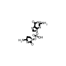 Nc1ccn(OP(=O)(O)On2cnc3c(=O)[nH]c(N)nc32)c(=O)n1